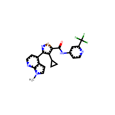 Cn1ccc2c(-c3nsc(C(=O)Nc4ccnc(C(F)(F)F)c4)c3C3CC3)ccnc21